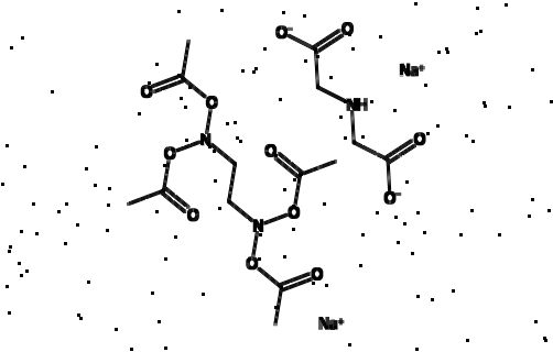 CC(=O)ON(CCN(OC(C)=O)OC(C)=O)OC(C)=O.O=C([O-])CNCC(=O)[O-].[Na+].[Na+]